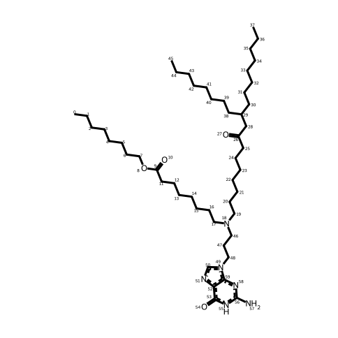 CCCCCCCCOC(=O)CCCCCCCN(CCCCCCCC(=O)CC(CCCCCCCC)CCCCCCCC)CCCn1cnc2c(=O)[nH]c(N)nc21